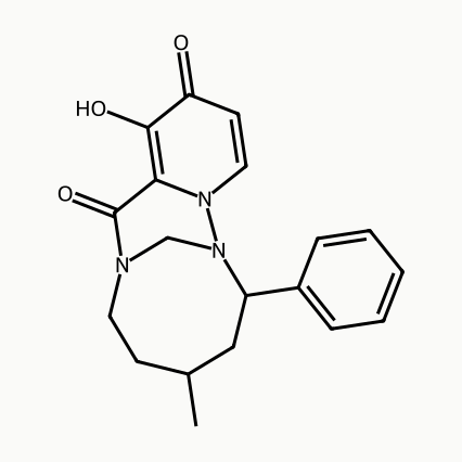 CC1CCN2CN(C(c3ccccc3)C1)n1ccc(=O)c(O)c1C2=O